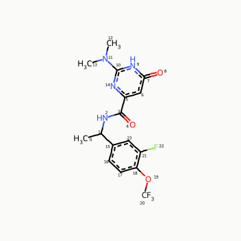 CC(NC(=O)c1cc(=O)[nH]c(N(C)C)n1)c1ccc(OC(F)(F)F)c(F)c1